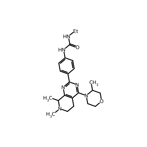 CCNC(=O)Nc1ccc(-c2nc3c(c(N4CCOCC4C)n2)CCN(C)C3C)cc1